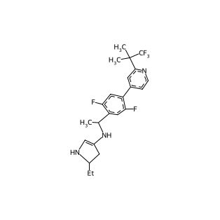 CCC1CC(NC(C)c2cc(F)c(-c3ccnc(C(C)(C)C(F)(F)F)c3)cc2F)=CN1